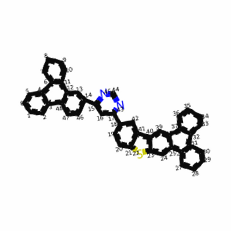 c1ccc2c(c1)c1ccccc1c1cc(-c3cc(-c4ccc5sc6cc7c8ccccc8c8ccccc8c7cc6c5c4)ncn3)ccc21